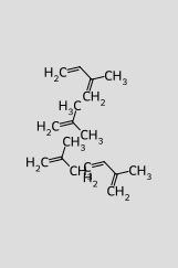 C=C(C)C.C=C(C)C.C=CC(=C)C.C=CC(=C)C